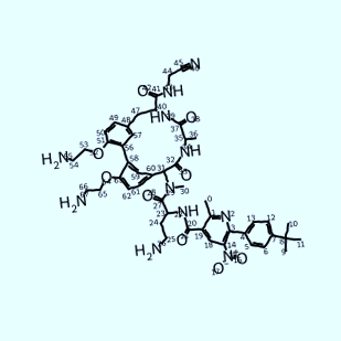 Cc1nc(-c2ccc(C(C)(C)C)cc2)c([N+](=O)[O-])cc1C(=O)NC(CCN)C(=O)N(C)C1C(=O)NC(C)C(=O)NC(C(=O)NCC#N)Cc2ccc(OCCN)c(c2)-c2cc1ccc2OCCN